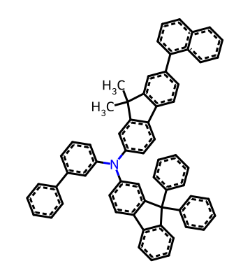 CC1(C)c2cc(-c3cccc4ccccc34)ccc2-c2ccc(N(c3cccc(-c4ccccc4)c3)c3ccc4c(c3)C(c3ccccc3)(c3ccccc3)c3ccccc3-4)cc21